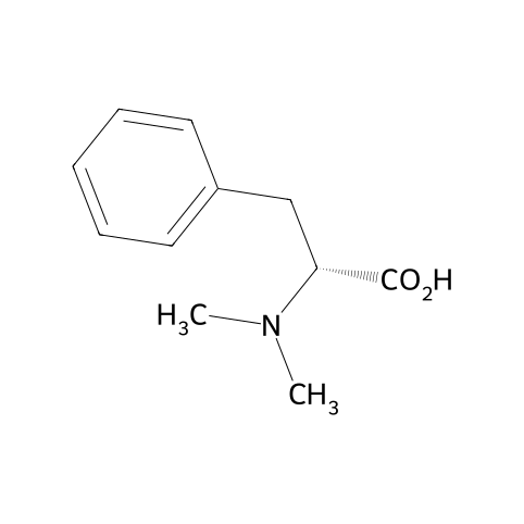 CN(C)[C@H](Cc1ccccc1)C(=O)O